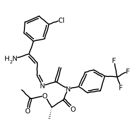 C=C(/N=C\C=C(/N)c1cccc(Cl)c1)N(C(=O)[C@H](C)OC(C)=O)c1ccc(C(F)(F)F)cc1